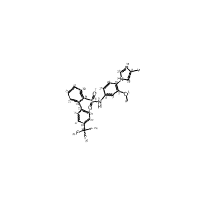 COc1cc(NS(=O)(=O)c2ccccc2-c2ccc(C(F)(F)F)cc2)ccc1-n1cnc(C)c1